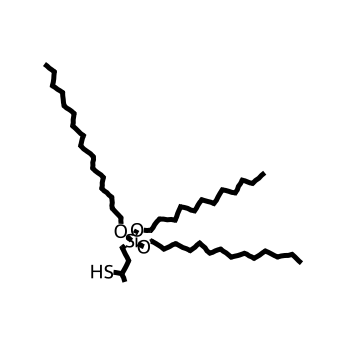 CCCCCCCCCCCCCCCCO[Si](CCC(C)S)(OCCCCCCCCCCCC)OCCCCCCCCCCCCCC